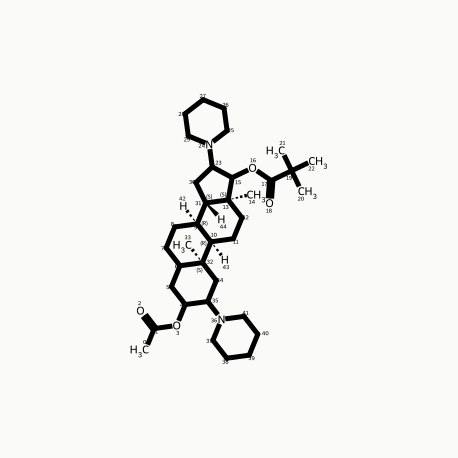 CC(=O)OC1CC2CC[C@@H]3[C@@H](CC[C@]4(C)C(OC(=O)C(C)(C)C)C(N5CCCCC5)C[C@@H]34)[C@@]2(C)CC1N1CCCCC1